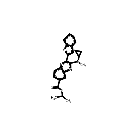 CC(C)SC(=O)c1ccc2nc(-c3cc4ccccc4o3)c(N(C)C3CC3)nc2c1